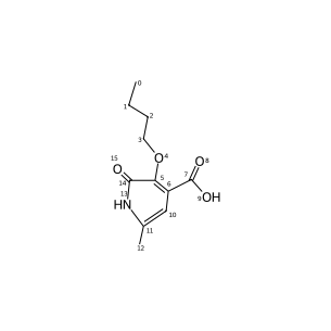 CCCCOc1c(C(=O)O)cc(C)[nH]c1=O